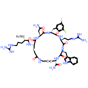 CC(=O)N[C@@H](CCCNC(=N)N)C(=O)N[C@H]1CCC(=O)NCCC[C@@H](C(N)=O)NC(=O)[C@H](Cc2c[nH]c3ccccc23)NC(=O)[C@H](CCCNC(=N)N)NC(=O)[C@@H](Cc2cc(F)cc(F)c2)NC(=O)[C@H](CC(N)=O)NC1=O